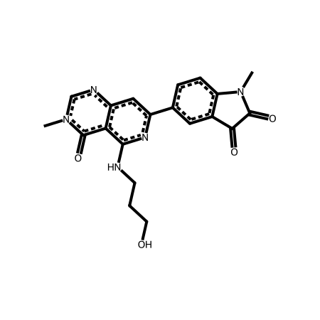 CN1C(=O)C(=O)c2cc(-c3cc4ncn(C)c(=O)c4c(NCCCO)n3)ccc21